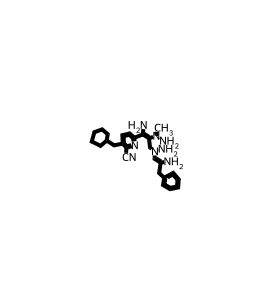 CN(N)/C(CN(N)/C=C(\N)Cc1ccccc1)=C(\N)c1ccc(CC2CCCCC2)c(C#N)n1